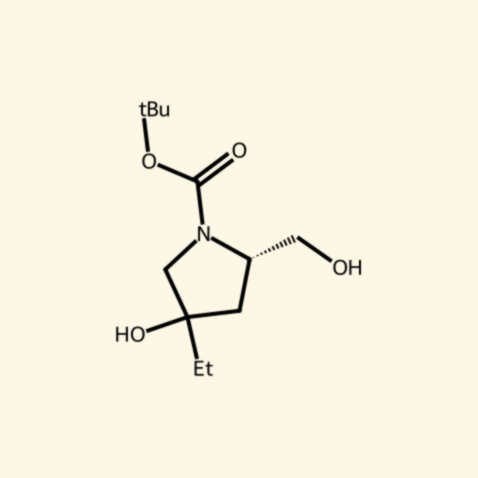 CCC1(O)C[C@@H](CO)N(C(=O)OC(C)(C)C)C1